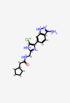 Nc1n[nH]c2cc(-c3nc(CNC(=O)CC4CCCC4)[nH]c3Cl)ccc12